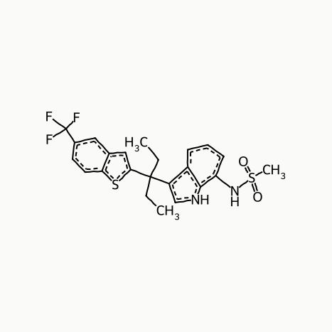 CCC(CC)(c1cc2cc(C(F)(F)F)ccc2s1)c1c[nH]c2c(NS(C)(=O)=O)cccc12